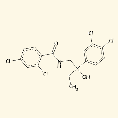 CCC(O)(CNC(=O)c1ccc(Cl)cc1Cl)c1ccc(Cl)c(Cl)c1